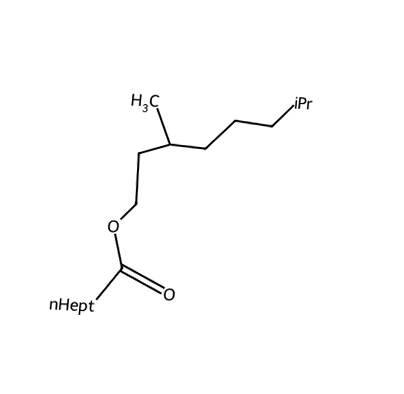 CCCCCCCC(=O)OCCC(C)CCCC(C)C